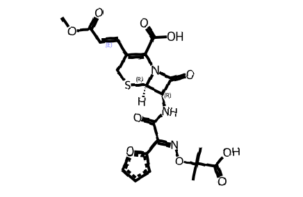 COC(=O)/C=C/C1=C(C(=O)O)N2C(=O)[C@@H](NC(=O)C(=NOC(C)(C)C(=O)O)c3ccco3)[C@H]2SC1